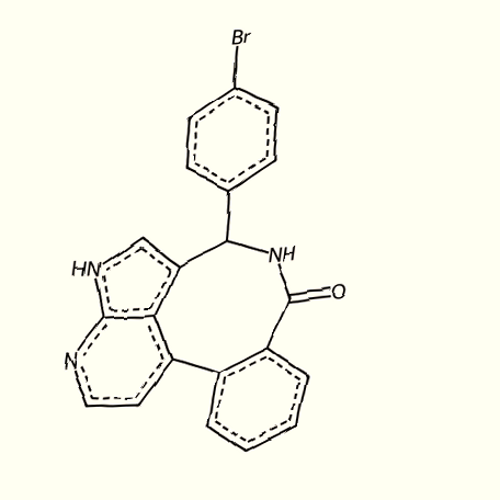 O=C1NC(c2ccc(Br)cc2)c2c[nH]c3nccc(c23)-c2ccccc21